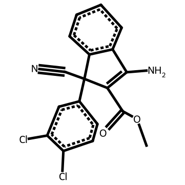 COC(=O)C1=C(N)c2ccccc2C1(C#N)c1ccc(Cl)c(Cl)c1